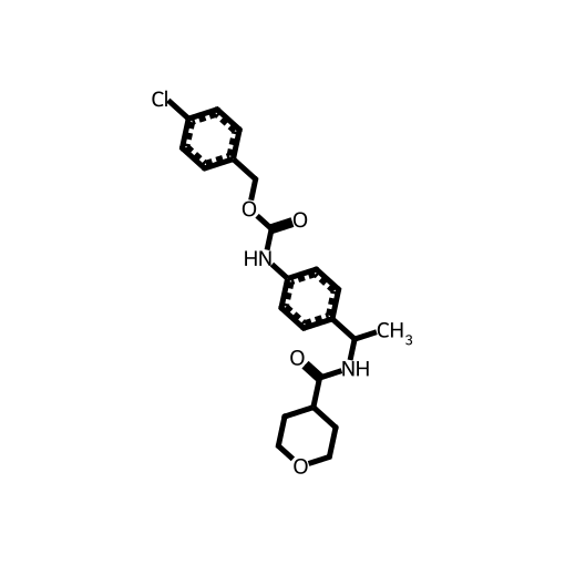 CC(NC(=O)C1CCOCC1)c1ccc(NC(=O)OCc2ccc(Cl)cc2)cc1